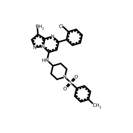 Bc1cnn2c(NC3CCN(S(=O)(=O)c4ccc(C)cc4)CC3)cc(-c3ccccc3Cl)nc12